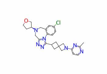 Cc1nccc(N2CC3(CC(c4nnc5n4-c4ccc(Cl)cc4CN([C@H]4CCOC4)C5)C3)C2)n1